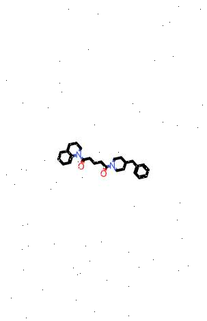 O=C(CCCC(=O)N1CCCC2CCCC=C21)N1CCC(Cc2ccccc2)CC1